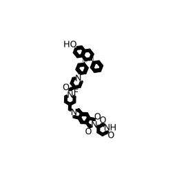 O=C1CCC(N2C(=O)c3cc4c(cc3C2=O)CN(CC2CCN(C(=O)C3(F)CCN(c5ccc([C@@H]6c7ccc(O)cc7CC[C@@H]6c6ccccc6)cc5)CC3)CC2)C4)C(=O)N1